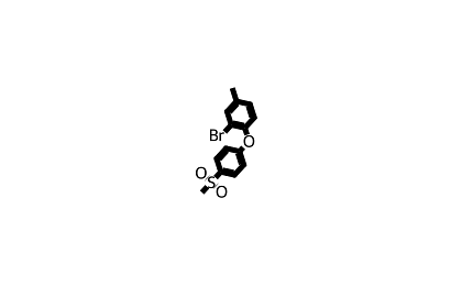 Cc1ccc(Oc2ccc(S(C)(=O)=O)cc2)c(Br)c1